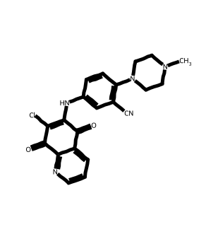 CN1CCN(c2ccc(NC3=C(Cl)C(=O)c4ncccc4C3=O)cc2C#N)CC1